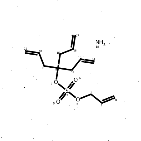 C=CCOS(=O)(=O)OC(CC=C)(CC=C)CC=C.N